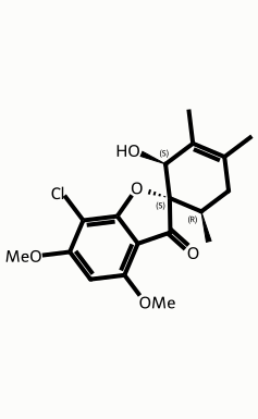 COc1cc(OC)c2c(c1Cl)O[C@@]1(C2=O)[C@H](C)CC(C)=C(C)[C@@H]1O